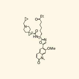 CCC(=O)CCCCC[C@H](NC(=O)[C@H]1CC12CCN(CC1CC1)CC2)c1ncc(-c2cc3ccc(=O)n(C)c3cc2OC)o1